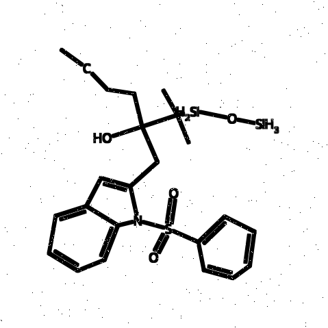 CCCCC(O)(Cc1cc2ccccc2n1S(=O)(=O)c1ccccc1)C(C)(C)[SiH2]O[SiH3]